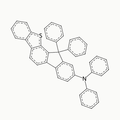 c1ccc(N(c2ccccc2)c2ccc3c(c2)C(c2ccccc2)(c2ccccc2)c2c-3ccc3c2sc2ccccc23)cc1